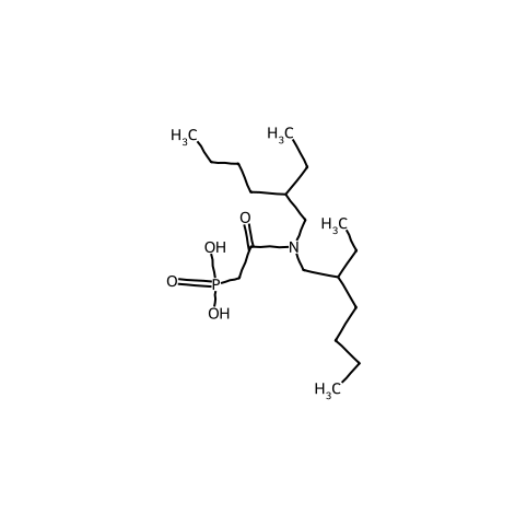 CCCCC(CC)CN(CC(CC)CCCC)C(=O)CP(=O)(O)O